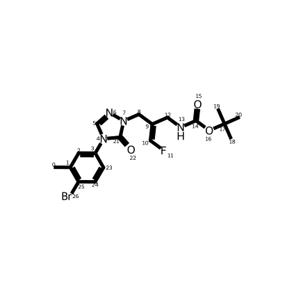 Cc1cc(-n2cnn(CC(=CF)CNC(=O)OC(C)(C)C)c2=O)ccc1Br